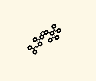 c1ccc(C(CCc2cccc(N(c3ccccc3)c3ccc4c(c3)CCc3ccc(-c5cc(N(c6ccccc6)c6ccccc6)cc(N(c6ccccc6)c6ccccc6)c5)cc3-4)c2)c2ccccc2)cc1